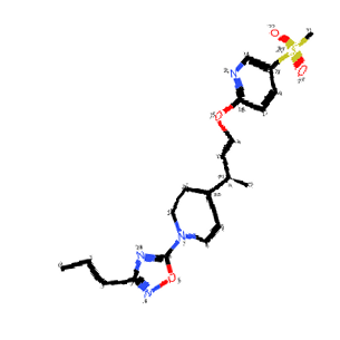 CCCc1noc(N2CCC([C@H](C)CCOc3ccc(S(C)(=O)=O)cn3)CC2)n1